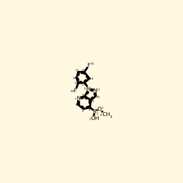 COB(O)c1ccnc2c1cnn2-c1cc(F)ccc1F